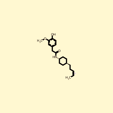 C/C=C\CC[C@H]1CC[C@H](NC(=O)Cc2ccc(O)c(OC)c2)CC1